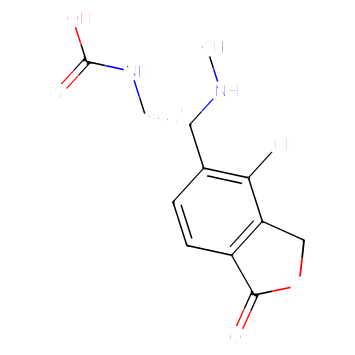 CN[C@@H](CNC(=O)O)c1ccc2c(c1C)COC2=O